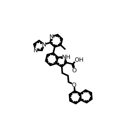 Cc1ccnc(-n2ccnc2)c1-c1cccc2c(CCCOc3cccc4ccccc34)c(C(=O)O)[nH]c12